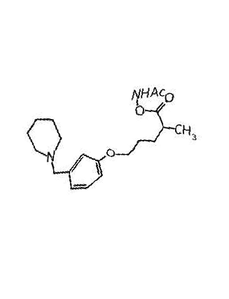 CC(=O)NOC(=O)C(C)CCCOc1cccc(CN2CCCCC2)c1